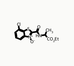 CCOC(=O)C(C)NC(=O)c1sc2c(Cl)cccc2[n+]1[O-]